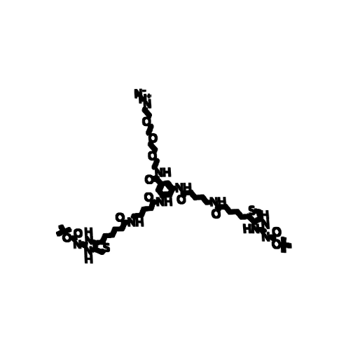 CC(C)(C)OC(=O)/N=C1/NC2CSC(CCCCC(=O)NCCCCC(=O)Nc3cc(NC(=O)CCCCNC(=O)CCCCC4SCC5N/C(=N\C(=O)OC(C)(C)C)NC54)cc(C(=O)NCCOCCOCCOCCN=[N+]=[N-])c3)C2N1